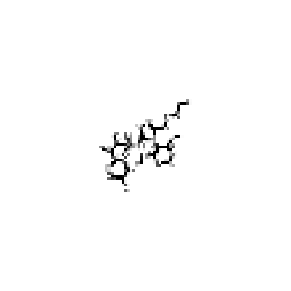 CCCOCc1nnc(NS(=O)(=O)C(C)C(C)c2ncc(Cl)cn2)n1-c1c(OC)ncnc1OC